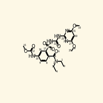 CCN(CC)C(=O)c1ccc(NC(=O)OC)cc1S(=O)(=O)NC(=O)Nc1nc(OC)cc(OC)n1